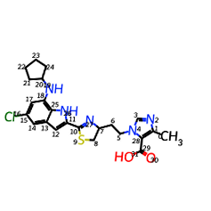 Cc1ncn(CCC2CSC(c3cc4cc(Cl)cc(NC5CCCC5)c4[nH]3)=N2)c1C(=O)O